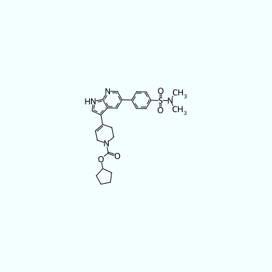 CN(C)S(=O)(=O)c1ccc(-c2cnc3[nH]cc(C4=CCN(C(=O)OC5CCCC5)CC4)c3c2)cc1